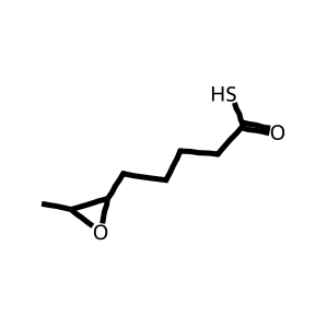 CC1OC1CCCCC(=O)S